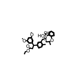 CCOC(=O)CC(c1cc(OC)cc(OC)c1)c1ccc(C)c(CN2CC(C)Oc3ccccc3S2(O)O)c1